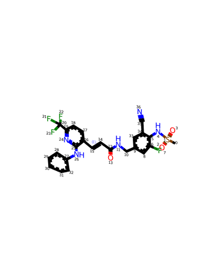 CS(=O)(=O)Nc1c(F)cc(CNC(=O)/C=C/c2ccc(C(F)(F)F)nc2Nc2ccccc2)cc1C#N